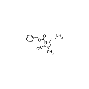 CN1CC(CCN)N(C(=O)OCc2ccccc2)C1=C=O